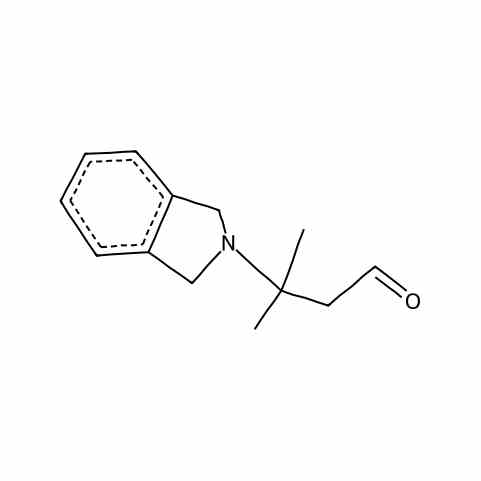 CC(C)(CC=O)N1Cc2ccccc2C1